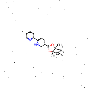 CC1(C)OB(C2=CC=C(c3ccccn3)NC2)OC1(C)C